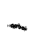 O=c1cc(-c2ccc(C(F)(F)F)cc2)ccn1-c1ccc2c(c1)nc1n2CCNC1